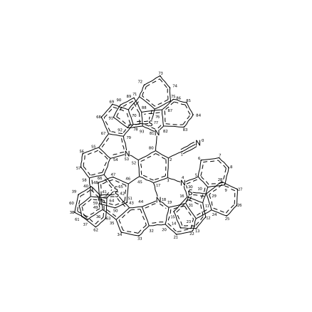 N#Cc1c(-n2c3ccccc3c3ccccc32)c(-n2c3c(ccc4c5ccccc5sc43)c3ccc4c5ccccc5sc4c32)c(-c2ccccc2)c(-n2c3c(ccc4c5ccccc5sc43)c3ccc4c5ccccc5sc4c32)c1-n1c2ccccc2c2ccccc21